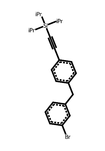 CC(C)[Si](C#Cc1ccc(Cc2cccc(Br)c2)cc1)(C(C)C)C(C)C